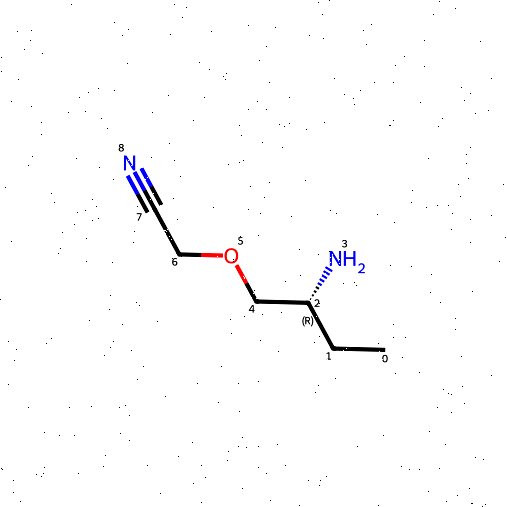 CC[C@@H](N)COCC#N